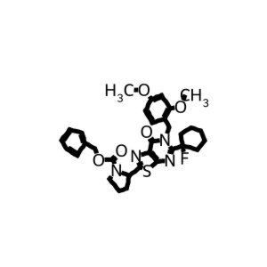 COc1ccc(Cn2c(C3(F)CCCCC3)nc3sc(C4CCCN4C(=O)OCc4ccccc4)nc3c2=O)c(OC)c1